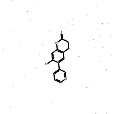 S=C1CCc2cc(-c3cccnc3)c(Cl)cc2N1